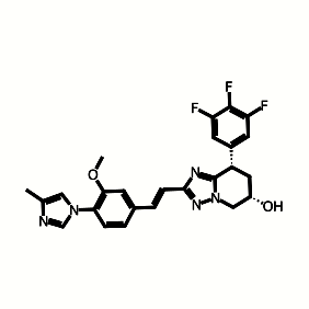 COc1cc(/C=C/c2nc3n(n2)C[C@@H](O)C[C@H]3c2cc(F)c(F)c(F)c2)ccc1-n1cnc(C)c1